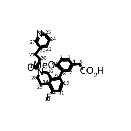 COc1ccc(CC(=O)O)cc1-c1ccc(F)c2c1CN(C(=O)CCc1cccnc1)CC2